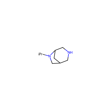 CC(C)N1CC2CNCC1C2